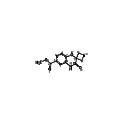 COC(=O)c1ccc2c(c1)NC(=O)C1(CSC1)O2